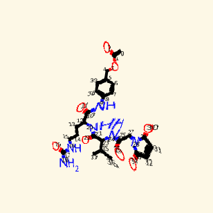 CC(=O)OCc1ccc(NC(=O)C(CCCNC(N)=O)NC(=O)C(NC(=O)CN2C(=O)C=CC2=O)C(C)C)cc1